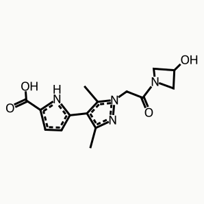 Cc1nn(CC(=O)N2CC(O)C2)c(C)c1-c1ccc(C(=O)O)[nH]1